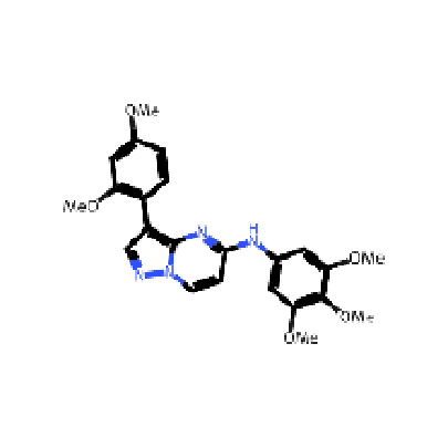 COc1ccc(-c2cnn3ccc(Nc4cc(OC)c(OC)c(OC)c4)nc23)c(OC)c1